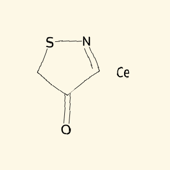 O=C1C=NSC1.[Ce]